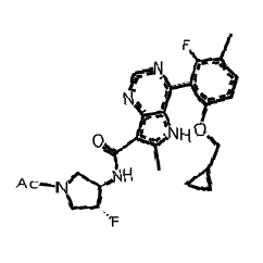 CC(=O)N1C[C@@H](F)[C@H](NC(=O)c2c(C)[nH]c3c(-c4c(OCC5CC5)ccc(C)c4F)ncnc23)C1